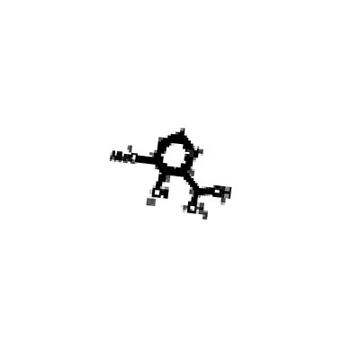 COc1ccnc(C(C)O)c1C#N